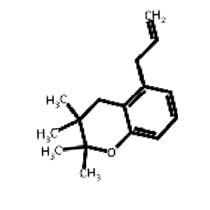 C=CCc1cccc2c1CC(C)(C)C(C)(C)O2